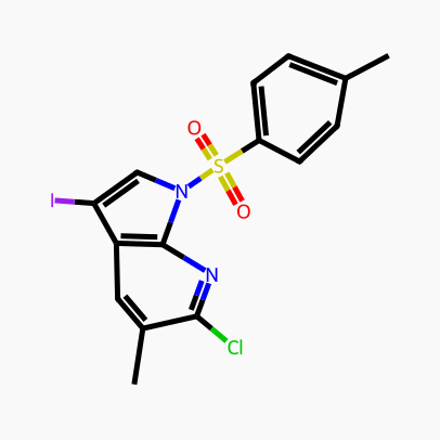 Cc1ccc(S(=O)(=O)n2cc(I)c3cc(C)c(Cl)nc32)cc1